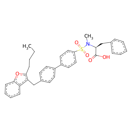 CCCCc1oc2ccccc2c1Cc1ccc(-c2ccc(S(=O)(=O)N(C)[C@@H](Cc3ccccc3)C(=O)O)cc2)cc1